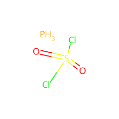 O=S(=O)(Cl)Cl.P